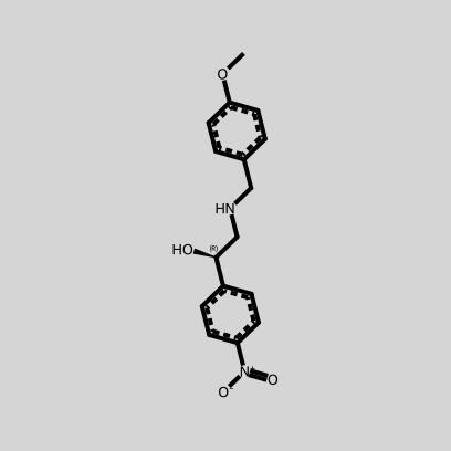 COc1ccc(CNC[C@H](O)c2ccc([N+](=O)[O-])cc2)cc1